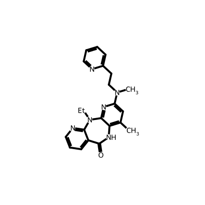 CCN1c2ncccc2C(=O)Nc2c(C)cc(N(C)CCc3ccccn3)nc21